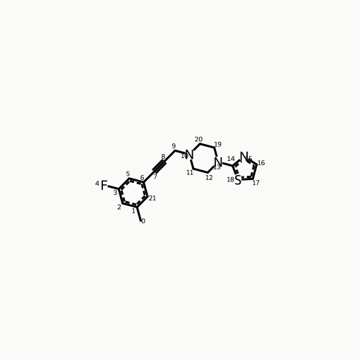 Cc1cc(F)cc(C#CCN2CCN(c3nccs3)CC2)c1